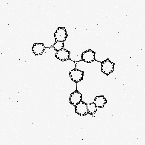 c1ccc(-c2cccc(N(c3ccc(-c4ccc5ccc6oc7ccccc7c6c5c4)cc3)c3ccc4c(c3)c3ccccc3n4-c3ccccc3)c2)cc1